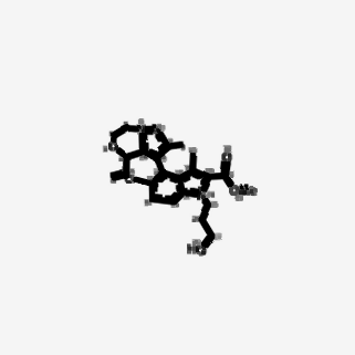 C=CC1OCCn2nc(C)c(-c3c(Cl)ccc4c3c(C)c(C(=O)OC)n4CCCO)c21